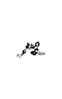 C=C(Cc1ccccc1CCCCCC)N1CCCCC1c1cc2nc(N3CC(N)C3)cc(C)n2n1